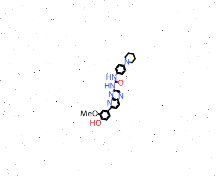 COc1cc(-c2ccc3ncc(NC(=O)Nc4ccc(N5CCCCC5)cc4)nc3n2)ccc1O